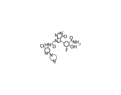 CN1CCCN(c2cc(NC(=O)Cn3cc(-c4cc(F)c(O)c(C(N)=O)c4)c4c(=O)n(C)cnc43)c(Cl)cn2)CC1